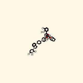 Nc1nnc(-c2cccc(Cl)c2O)cc1N1CC2CCC(C1)N2c1nccc(C2CCN([C@H]3CC[C@@H](c4cccc5c4CCN5C4CCC(=O)NC4=O)CC3)CC2)n1